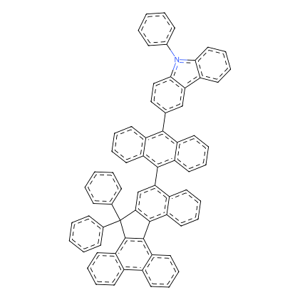 c1ccc(-n2c3ccccc3c3cc(-c4c5ccccc5c(-c5cc6c(c7ccccc57)-c5c(c7ccccc7c7ccccc57)C6(c5ccccc5)c5ccccc5)c5ccccc45)ccc32)cc1